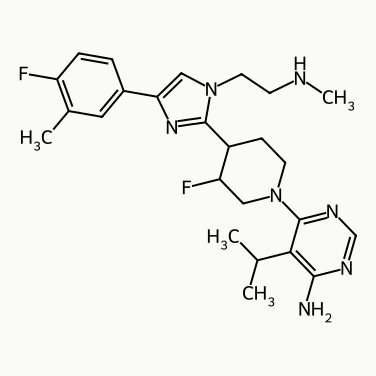 CNCCn1cc(-c2ccc(F)c(C)c2)nc1C1CCN(c2ncnc(N)c2C(C)C)CC1F